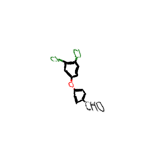 O=Cc1ccc(Oc2ccc(Cl)c(Cl)c2)cc1